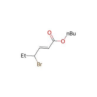 CCCCOC(=O)C=CC(Br)CC